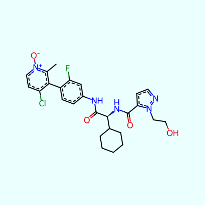 Cc1c(-c2ccc(NC(=O)[C@@H](NC(=O)c3ccnn3CCO)C3CCCCC3)cc2F)c(Cl)cc[n+]1[O-]